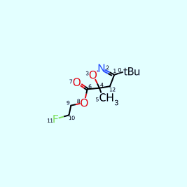 CC(C)(C)C1=NOC(C)(C(=O)OCCF)C1